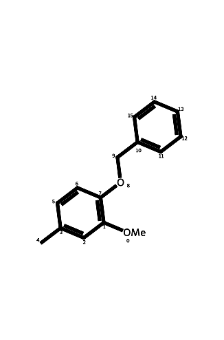 COc1cc(C)ccc1OCc1ccccc1